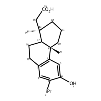 CC(C)c1cc2c(cc1O)[C@@]1(C)CCC[C@](C)(CC(=O)O)C1CC2